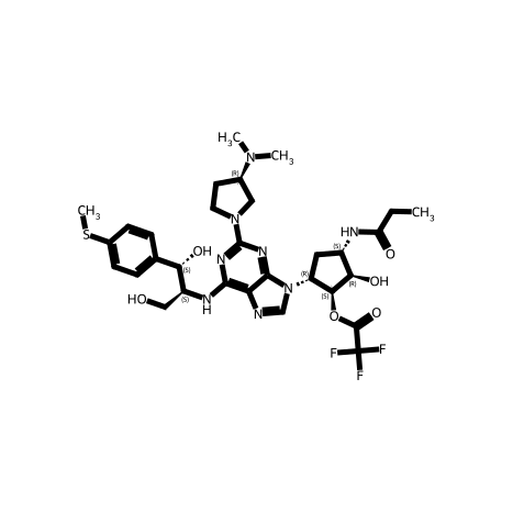 CCC(=O)N[C@H]1C[C@@H](n2cnc3c(N[C@@H](CO)[C@@H](O)c4ccc(SC)cc4)nc(N4CC[C@@H](N(C)C)C4)nc32)[C@H](OC(=O)C(F)(F)F)[C@@H]1O